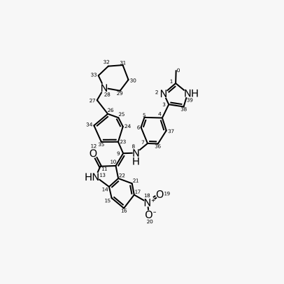 Cc1nc(-c2ccc(NC(=C3C(=O)Nc4ccc([N+](=O)[O-])cc43)c3ccc(CN4CCCCC4)cc3)cc2)c[nH]1